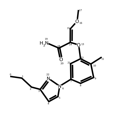 CCCc1ccn(-c2ccc(C)c(O/C(=C\OC)C(N)=O)c2)n1